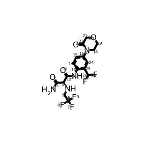 NC(=O)[C@H](NCC(F)(F)F)C(=O)Nc1ccc(N2CCOCC2=O)cc1C(F)F